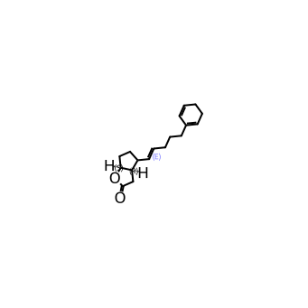 O=C1C[C@@H]2C(/C=C/CCCC3=CCCC=C3)CC[C@@H]2O1